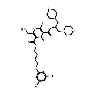 CCC1=C(C(=O)OC(CN2CCOCC2)CN2CCOCC2)C(C)C(C(=O)OCCCCSc2cc(Cl)cc(Cl)c2)=C(CN)N1